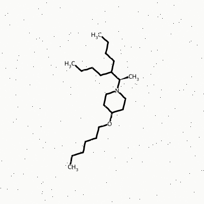 CCCCCCOC1CCN([C@H](C)C(CCCC)CCCC)CC1